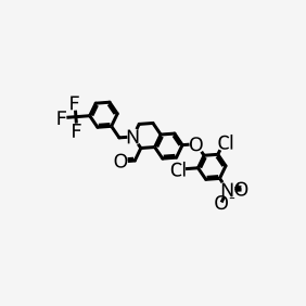 O=CC1c2ccc(Oc3c(Cl)cc([N+](=O)[O-])cc3Cl)cc2CCN1Cc1cccc(C(F)(F)F)c1